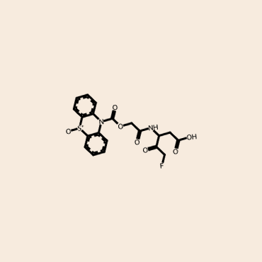 O=C(O)CC(NC(=O)COC(=O)N1c2ccccc2[S+]([O-])c2ccccc21)C(=O)CF